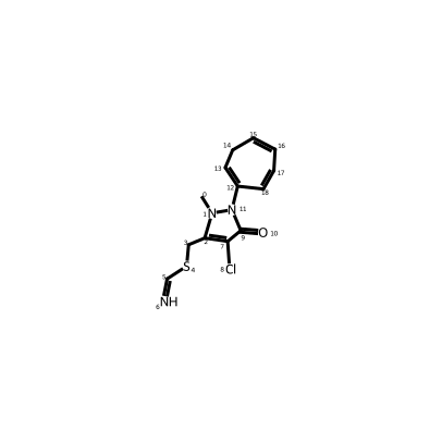 Cn1c(CSC=N)c(Cl)c(=O)n1C1=CCC=CC=C1